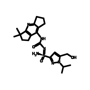 CC(C)n1nc([S@](N)(=O)=NC(=O)Nc2c3c(nc4c2CCC4(C)C)CCC3)cc1CO